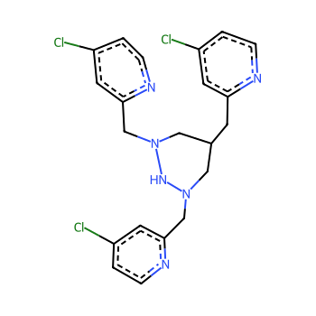 Clc1ccnc(CC2CN(Cc3cc(Cl)ccn3)NN(Cc3cc(Cl)ccn3)C2)c1